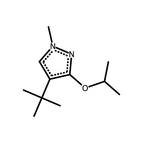 CC(C)Oc1nn(C)cc1C(C)(C)C